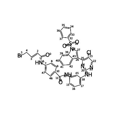 O=C(/C=C/CBr)Nc1ccc(C(=O)Nc2cccc(Nc3ncc(Cl)c(-c4cn(S(=O)(=O)c5ccccc5)c5ccccc45)n3)c2)cc1